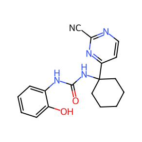 N#Cc1nccc(C2(NC(=O)Nc3ccccc3O)CCCCC2)n1